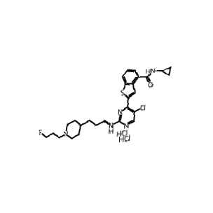 Cl.Cl.O=C(NC1CC1)c1cccc2sc(-c3nc(NCCCC4CCN(CCCF)CC4)ncc3Cl)cc12